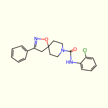 O=C(Nc1ccccc1Cl)N1CCC2(CC1)CC(c1ccccc1)=NO2